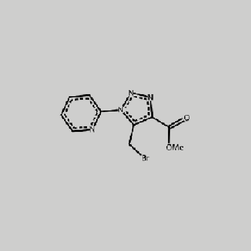 COC(=O)c1nnn(-c2ccccn2)c1CBr